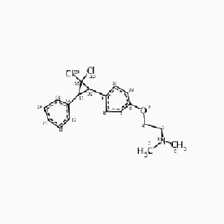 CN(C)CCOc1ccc(C2C(c3ccccc3)C2(Cl)Cl)cc1